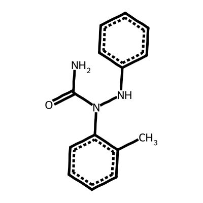 Cc1ccccc1N(Nc1ccccc1)C(N)=O